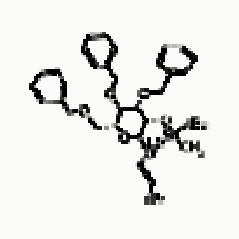 CCCC=CO[C@H]1O[C@H](COCc2ccccc2)[C@@H](OCc2ccccc2)[C@H](OCc2ccccc2)[C@@H]1O[Si](C)(C)C(C)(C)C